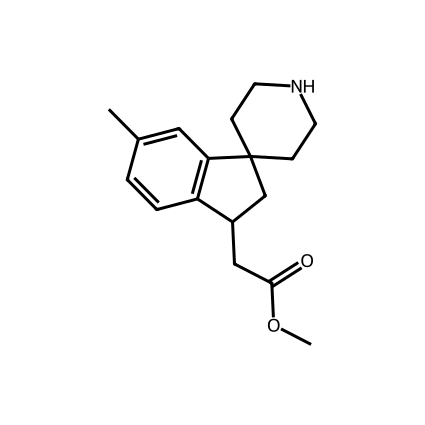 COC(=O)CC1CC2(CCNCC2)c2cc(C)ccc21